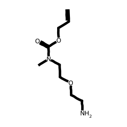 C=CCOC(=O)N(C)CCOCCN